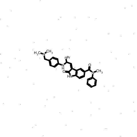 CCCC(C=C1C(=O)Nc2ccc(C(=O)N(C)c3ccccc3)cc21)Nc1ccc(CN(C)C)cc1